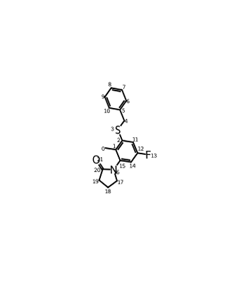 Cc1c(SCc2ccccc2)cc(F)cc1N1CCCC1=O